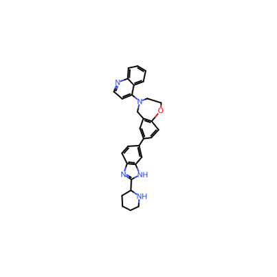 c1ccc2c(N3CCOc4ccc(-c5ccc6nc(C7CCCCN7)[nH]c6c5)cc4C3)ccnc2c1